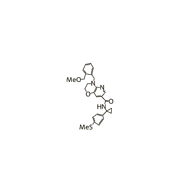 COCc1ccccc1CN1CCOc2cc(C(=O)NC3(c4ccc(SC)cc4)CC3)cnc21